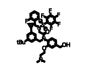 CN(C)CCOc1cc(CO)ccc1N(Cc1cc(C2CC2)cc(C(C)(C)C)c1)C(=O)CN(Cc1ccccc1F)S(=O)(=O)c1c(F)c(F)c(F)c(F)c1F